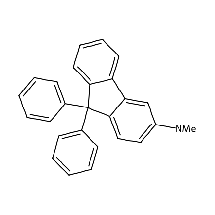 CNc1ccc2c(c1)-c1ccccc1C2(c1ccccc1)c1ccccc1